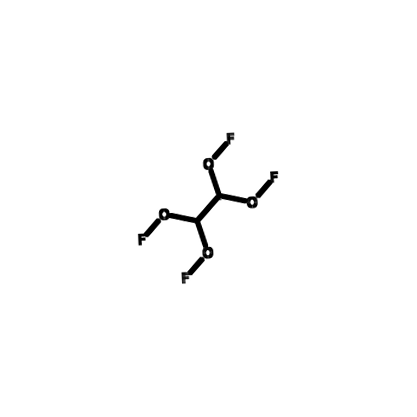 FO[C](OF)C(OF)OF